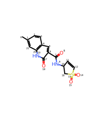 Cc1ccc2cc(C(=O)NC3C=CS(=O)(=O)C3)c(=O)[nH]c2c1